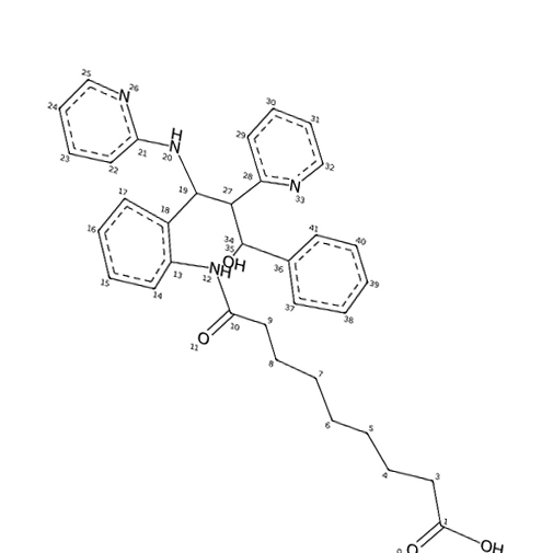 O=C(O)CCCCCCCC(=O)Nc1ccccc1C(Nc1ccccn1)C(c1ccccn1)C(O)c1ccccc1